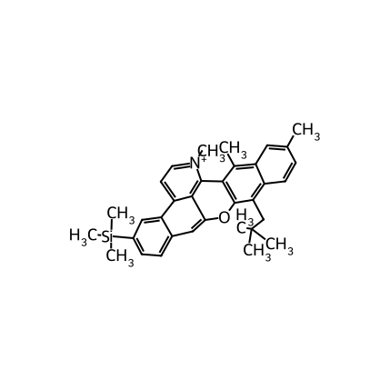 Cc1ccc2c(CC(C)(C)C)c3c(c(C)c2c1)-c1c2c(cc4ccc([Si](C)(C)C)cc4c2cc[n+]1C)O3